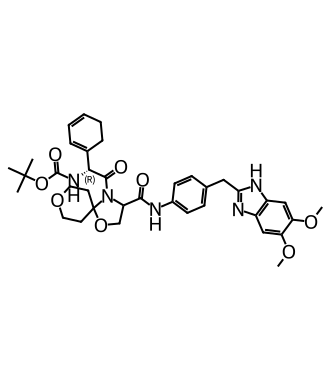 COc1cc2nc(Cc3ccc(NC(=O)C4COC5(CCOCC5)N4C(=O)[C@H](NC(=O)OC(C)(C)C)C4=CC=CCC4)cc3)[nH]c2cc1OC